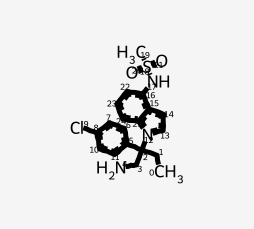 CCC(CN)(c1ccc(Cl)cc1)n1ccc2c(NS(C)(=O)=O)cccc21